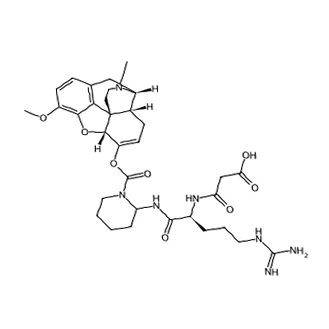 COc1ccc2c3c1O[C@H]1C(OC(=O)N4CCCCC4NC(=O)[C@H](CCCNC(=N)N)NC(=O)CC(=O)O)=CC[C@H]4[C@@H](C2)N(C)CC[C@]314